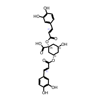 O=C(/C=C/c1ccc(O)c(O)c1)O[C@H]1C[C@H](O)C[C@](OC(=O)/C=C/c2ccc(O)c(O)c2)(C(=O)O)C1